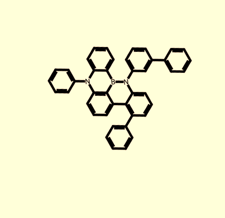 c1ccc(-c2cccc(N3B4c5ccccc5N(c5ccccc5)c5cccc(c54)-c4c(-c5ccccc5)cccc43)c2)cc1